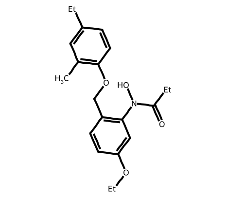 CCOc1ccc(COc2ccc(CC)cc2C)c(N(O)C(=O)CC)c1